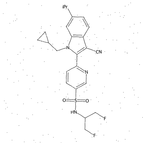 CC(C)c1ccc2c(C#N)c(-c3ccc(S(=O)(=O)NC(CF)CF)cn3)n(CC3CC3)c2c1